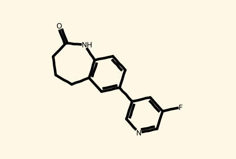 O=C1CCCc2cc(-c3cncc(F)c3)ccc2N1